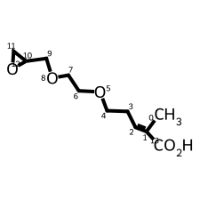 CC(=CCCOCCOCC1CO1)C(=O)O